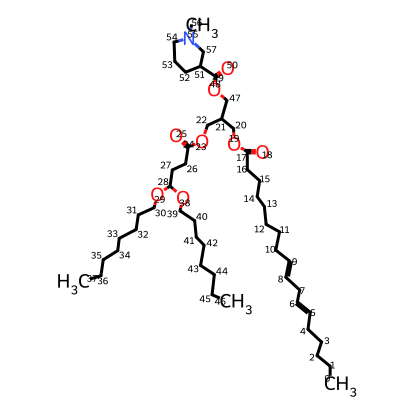 CCCCCC=CCC=CCCCCCCCC(=O)OCC(COC(=O)CCC(OCCCCCCCC)OCCCCCCCC)COC(=O)C1CCCN(C)C1